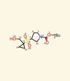 CC(C)(C)OC(=O)N1CCC(S(=O)(=O)C2(CO)CC2)C1